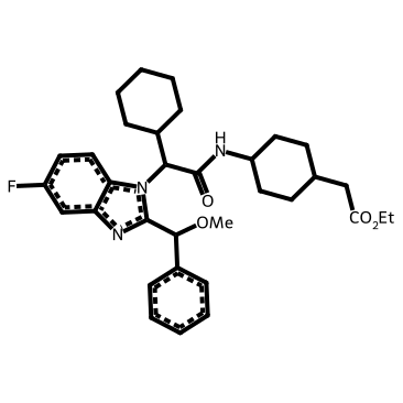 CCOC(=O)CC1CCC(NC(=O)C(C2CCCCC2)n2c(C(OC)c3ccccc3)nc3cc(F)ccc32)CC1